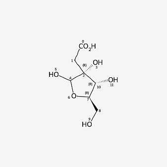 O=C(O)C[C@]1(O)C(O)O[C@H](CO)[C@H]1O